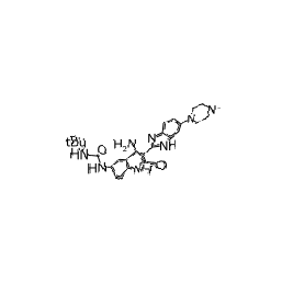 CN1CCN(c2ccc3nc(-c4c(N)c5cc(NC(=O)NC(C)(C)C)ccc5[nH]c4=O)[nH]c3c2)CC1